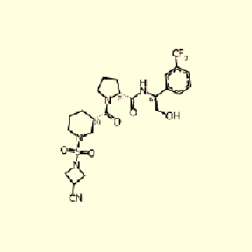 N#CC1CN(S(=O)(=O)N2CCC[C@H](C(=O)N3CCC[C@@H]3C(=O)N[C@H](CO)c3cccc(C(F)(F)F)c3)C2)C1